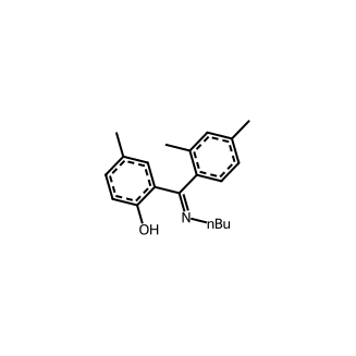 CCCC/N=C(\c1ccc(C)cc1C)c1cc(C)ccc1O